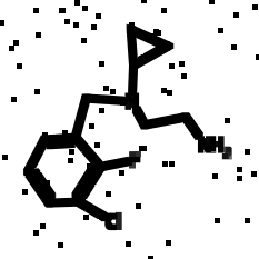 NCCN(Cc1cccc(Cl)c1F)C1CC1